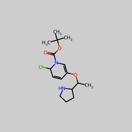 CC(OC1=CN(C(=O)OC(C)(C)C)C(Cl)C=C1)C1CCCN1